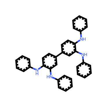 c1ccc(Nc2ccc(-c3ccc(Nc4ccccc4)c(Nc4ccccc4)c3)cc2Nc2ccccc2)cc1